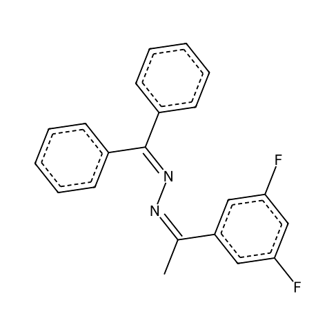 C/C(=N/N=C(c1ccccc1)c1ccccc1)c1cc(F)cc(F)c1